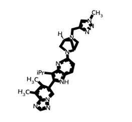 Cc1c(-c2[nH]c3ccc(N4C[C@@H]5CC4CN5Cc4cn(C)nn4)nc3c2C(C)C)cn2ncnc2c1C